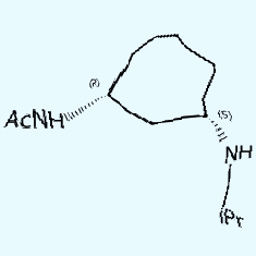 CC(=O)N[C@@H]1CCC[C@H](NC(C)C)C1